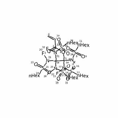 C=CC(=O)OC(N(F)S(=O)(=O)CCCCCC)(N(F)S(=O)(=O)CCCCCC)C(N(F)S(=O)(=O)CCCCCC)(N(F)S(=O)(=O)CCCCCC)N(F)S(=O)(=O)CCCCCC